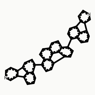 c1cc2c3c(ccc(-c4ccc5c6c4ccc4ccc7c(-c8ccc9c%10c(cccc8%10)-c8cnccc8-9)ccc-5c7c46)c3c1)-c1ccncc1-2